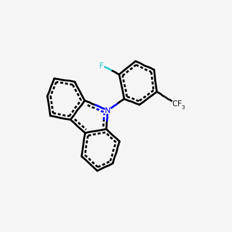 Fc1ccc(C(F)(F)F)cc1-n1c2ccccc2c2ccccc21